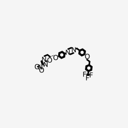 O=[N+]([O-])c1cn2c(n1)O[C@@H](COc1ccc(N3CCN(Cc4ccc(OCCc5ccc(C(F)(F)F)cc5)cc4)CC3)cc1)CC2